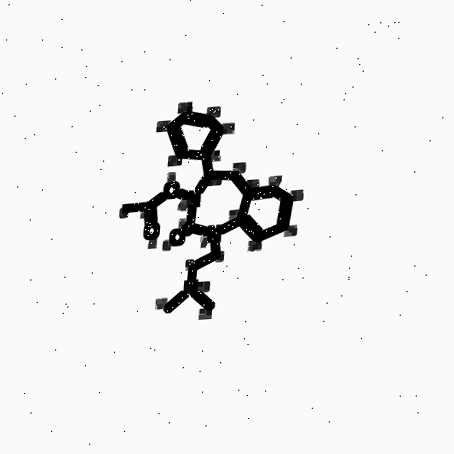 CC(=O)ON1C(=O)N(CCN(C)C)c2ccccc2CC1c1ccccc1